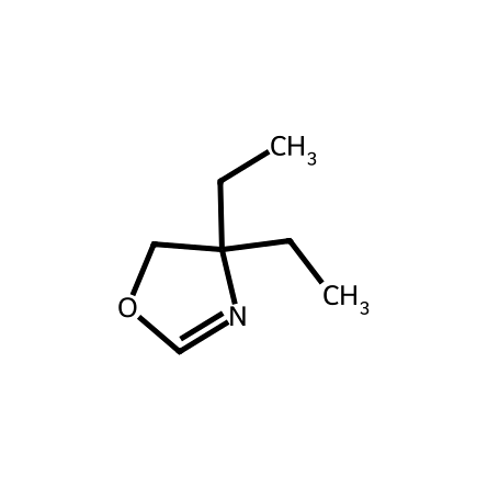 CCC1(CC)COC=N1